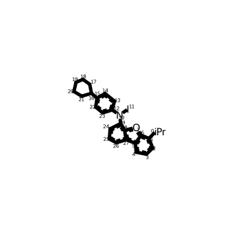 CC(C)c1cccc2c1oc1c(N(I)c3ccc(C4CCCCC4)cc3)cccc12